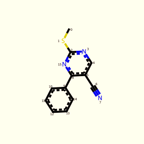 CSc1ncc(C#N)c(-c2ccccc2)n1